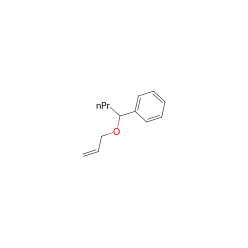 C=CCOC(CCC)c1ccccc1